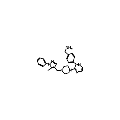 Cc1c(CN2CCN(c3nccnc3-c3ccc(CN)cc3)CC2)cnn1-c1ccccc1